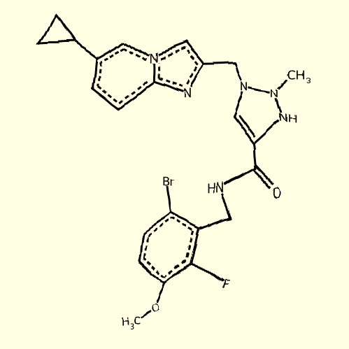 COc1ccc(Br)c(CNC(=O)C2=CN(Cc3cn4cc(C5CC5)ccc4n3)N(C)N2)c1F